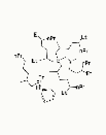 CCCC(CC)CCC(C)C[B-](CC(C)CCC(CC)CCC)(CC(C)CCC(CC)CCC)CC(C)CCC(CC)CCC.CCCC(CC)CCC(C)C[PH+](CC)c1ccccc1